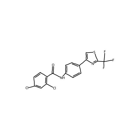 O=C(Nc1ccc(-c2csc(C(F)(F)F)n2)cc1)c1ccc(Cl)cc1Cl